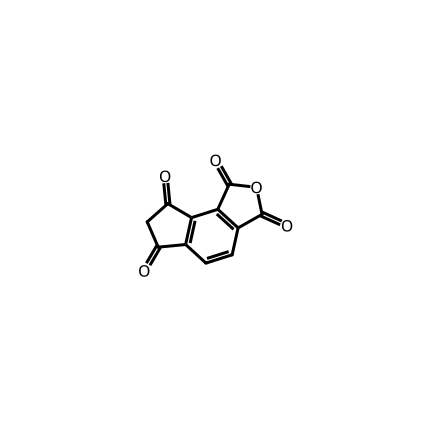 O=C1CC(=O)c2c1ccc1c2C(=O)OC1=O